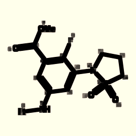 CCNc1cc(C(=O)OC)c(F)c(N2CCCS2(=O)=O)c1